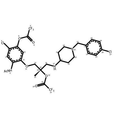 CC(=O)Nc1cc(Cl)c(OC(=O)C(F)(F)F)cc1OC[C@](C)(CNC1CCN(Cc2ccc(Cl)cc2)CC1)OC(=O)C(F)(F)F